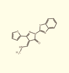 CNC=C1C(=O)N(c2nc3ccccc3s2)N=C1c1cccs1